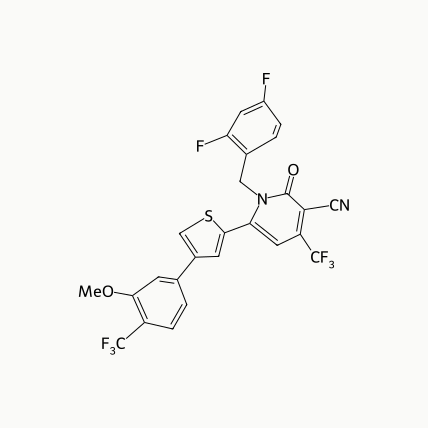 COc1cc(-c2csc(-c3cc(C(F)(F)F)c(C#N)c(=O)n3Cc3ccc(F)cc3F)c2)ccc1C(F)(F)F